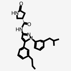 CCCc1cccc(-c2cc(NC(=O)[C@@H]3CNC(=O)C3)nn2-c2cccc(CC(C)C)c2)c1